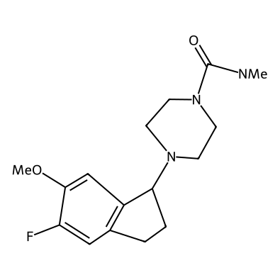 CNC(=O)N1CCN(C2CCc3cc(F)c(OC)cc32)CC1